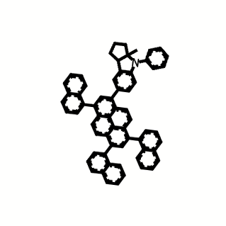 CC12CCCC1c1cc(-c3cc(-c4cccc5ccccc45)c4ccc5c(-c6cccc7ccccc67)cc(-c6cccc7ccccc67)c6ccc3c4c65)ccc1N2c1ccccc1